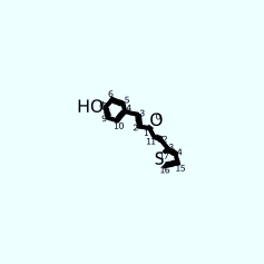 O=C(C=Cc1ccc(O)cc1)C=Cc1cccs1